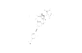 CC1(C)Oc2cc(C#Cc3ccc(C#N)cc3)ccc2-c2[nH]c(-c3c(F)cccc3Cl)nc21